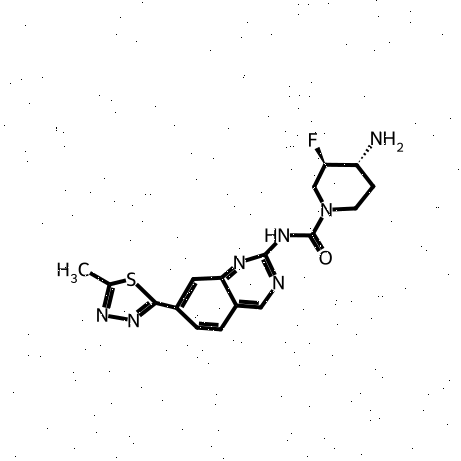 Cc1nnc(-c2ccc3cnc(NC(=O)N4CC[C@@H](N)[C@H](F)C4)nc3c2)s1